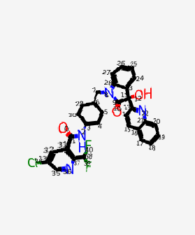 O=C(N[C@H]1CC[C@H](CN2C(=O)C(O)(c3ccc4ccccc4n3)c3ccccc32)CC1)c1cc(Cl)cnc1C(F)F